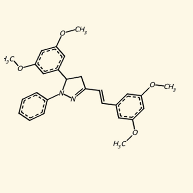 COc1cc(C=CC2=NN(c3ccccc3)C(c3cc(OC)cc(OC)c3)C2)cc(OC)c1